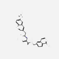 C=N/C(=C\C(=C/C)C(=O)NCc1ccc2c(N)nccc2c1)Cc1cnc2ccc(S(C)(=O)=O)cc2c1